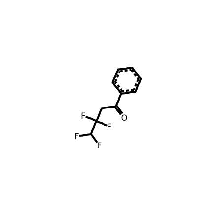 O=C(CC(F)(F)C(F)F)c1ccccc1